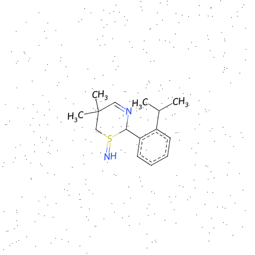 CC(C)c1ccccc1C1N=CC(C)(C)CS1=N